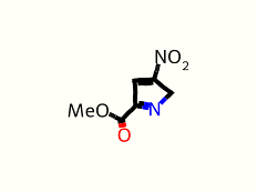 COC(=O)C1=NCC([N+](=O)[O-])=C1